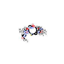 C=CC(=O)N1CCN(C(=O)N(C)[C@H](C(=O)N[C@H]2Cc3nc(cs3)-c3ccc4c(c3)c(c(/C(C=C)=C(/N=C\C)[C@H](C)OC)n4CC)CC(C)(C)COC(=O)[C@@]3(O)CCCN(N3)C2=O)C(C)C)CC12CC2